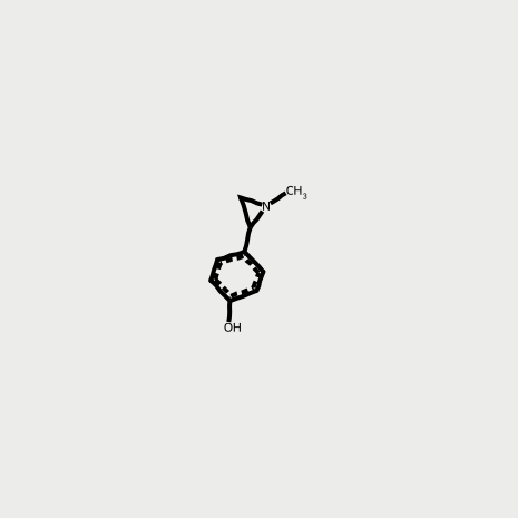 CN1CC1c1ccc(O)cc1